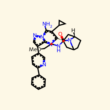 COCCNC(=O)N1C2CC[C@H]1C[C@@H](c1nc3c(-c4ccc(-c5ccccc5)nc4)cnn3c(N)c1C1CC1)C2